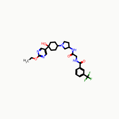 CCOc1ncc(C2(O)CCC(N3CCC(NC(=O)CNC(=O)c4cccc(C(F)(F)F)c4)C3)CC2)cn1